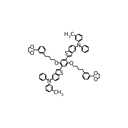 Cc1cccc(N(c2ccccc2)c2ccc3sc(-c4cc(OCCCCc5cccc(C6OCCO6)c5)c(-c5cc6cc(N(c7ccccc7)c7cccc(C)c7)ccc6s5)cc4OCCCCc4cccc(C5OCCO5)c4)cc3c2)c1